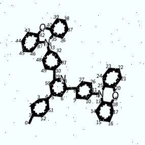 Cc1ccc(-c2cc(-c3ccc(N4c5ccccc5Oc5ccccc54)cc3)nc(-c3ccc(N4c5ccccc5Oc5ccccc54)cc3)c2)cc1